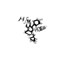 C[N+]1=CC2C(C1)C(c1ccccc1)CC1C2CCCN1Cc1ccccc1.Cl.[Cl-]